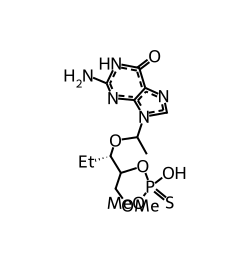 CC[C@H](OC(C)n1cnc2c(=O)[nH]c(N)nc21)C(COC)OP(O)(=S)OC